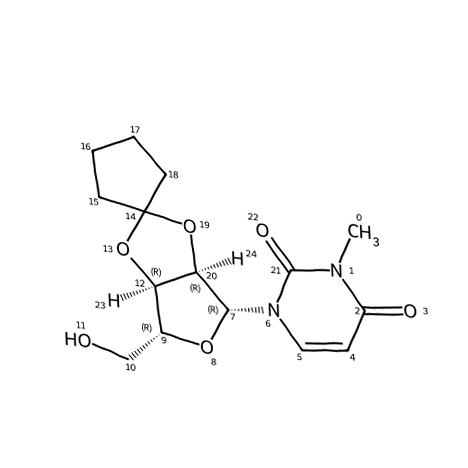 Cn1c(=O)ccn([C@@H]2O[C@H](CO)[C@H]3OC4(CCCC4)O[C@H]32)c1=O